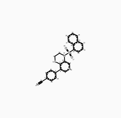 N#Cc1ccc(-c2cncc3c2SCCN3S(=O)(=O)c2cccc3ccccc23)cc1